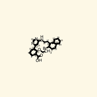 CCOc1c(C(=O)O)cccc1-c1cc(NCCc2c(Br)ccc3ccccc23)ncn1